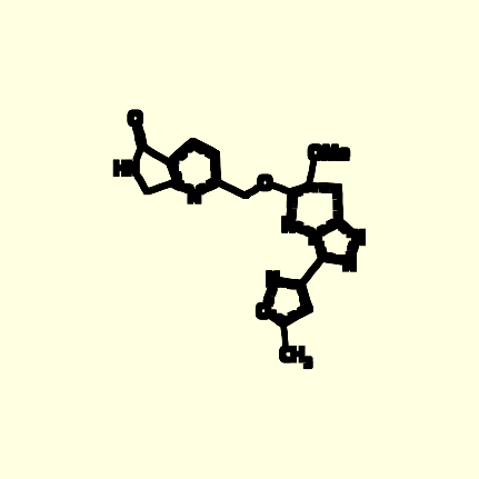 COc1cc2nnc(-c3cc(C)on3)n2nc1OCc1ccc2c(n1)CNC2=O